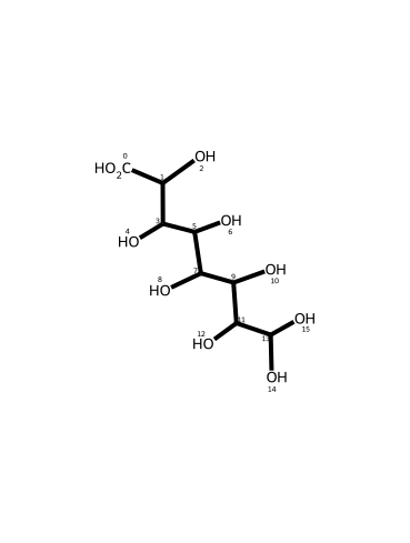 O=C(O)C(O)C(O)C(O)C(O)C(O)C(O)C(O)O